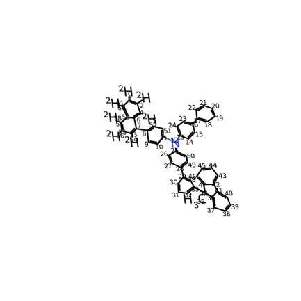 [2H]c1c([2H])c([2H])c2c(-c3ccc(N(c4ccc(-c5ccccc5)cc4)c4ccc(-c5cccc(C6(C)c7ccccc7-c7ccccc76)c5)cc4)cc3)c([2H])c([2H])c([2H])c2c1[2H]